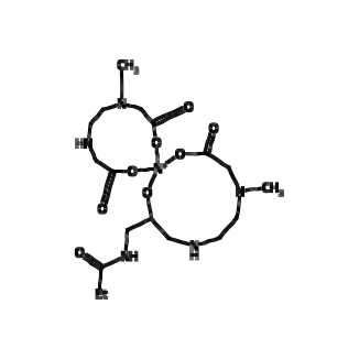 CCC(=O)NCC1CNCCN(C)CC(=O)O[N+]2(OC(=O)CNCCN(C)CC(=O)O2)O1